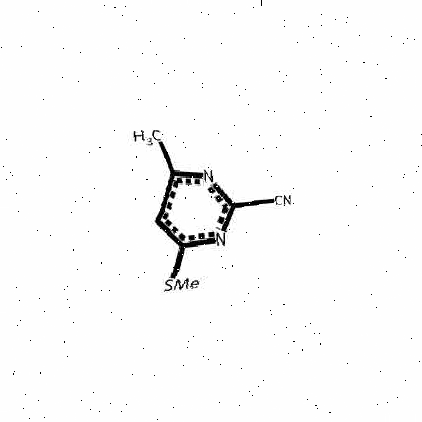 CSc1cc(C)nc(C#N)n1